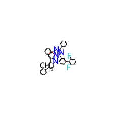 Cc1ccccc1-c1ccc2c(c1)c1ccccc1n2-c1ccc(-c2c(F)cccc2F)cc1-c1nc(-c2ccccc2)nc(-c2ccccc2)n1